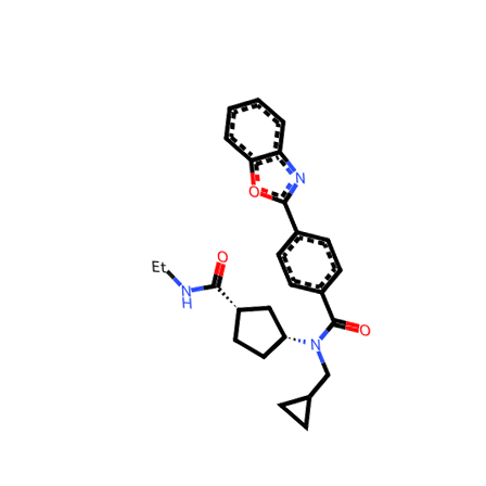 CCNC(=O)[C@H]1CC[C@@H](N(CC2CC2)C(=O)c2ccc(-c3nc4ccccc4o3)cc2)C1